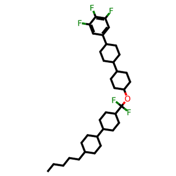 CCCCCC1CCC(C2CCC(C(F)(F)OC3CCC(C4CCC(c5cc(F)c(F)c(F)c5)CC4)CC3)CC2)CC1